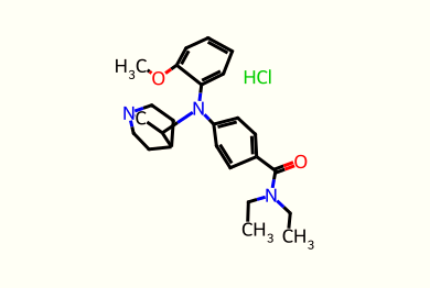 CCN(CC)C(=O)c1ccc(N(c2ccccc2OC)C2CN3CCC2CC3)cc1.Cl